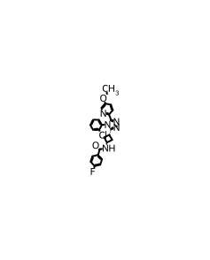 CCOc1ccc(-c2nnc([C@H]3C[C@H](NC(=O)c4ccc(F)cc4)C3)n2-c2ccccc2Cl)nc1